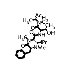 CN[C@@H](Cc1ccccc1)C(=O)N(C)[C@@H](CC(C)C)C(=O)N[C@H](C(=O)N(C)[C@@H](C)C(C)=O)[C@@H](C)O